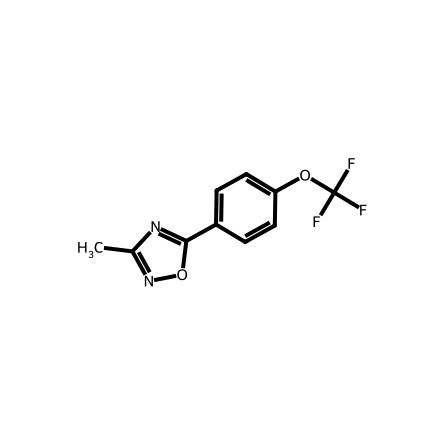 Cc1noc(-c2ccc(OC(F)(F)F)cc2)n1